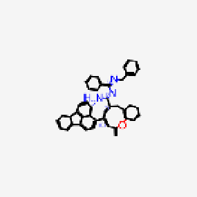 C=C1\C=C(c2ccc3c4c(cccc24)C2CC=CC=C32)/C=C(/C(N)=N/C(=N\Cc2ccccc2)c2ccccc2)CC2=C(C=CCC2)O1